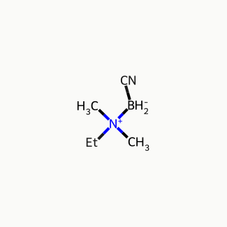 CC[N+](C)(C)[BH2-]C#N